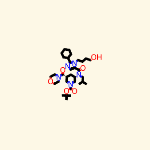 CC(C)CN(C(=O)c1cnc(C2CCCCC2)n1CCCCO)[C@H]1C[C@@H](C(=O)N2CCOCC2)CN(C(=O)OC(C)(C)C)C1